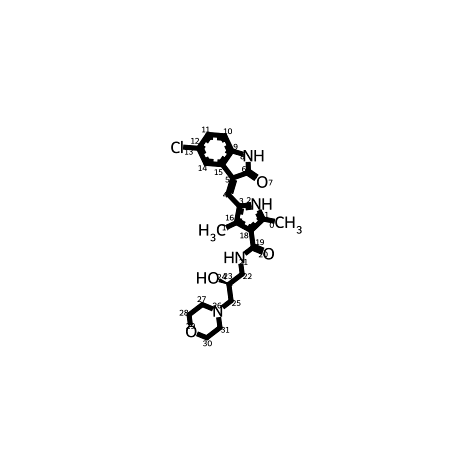 Cc1[nH]c(/C=C2\C(=O)Nc3ccc(Cl)cc32)c(C)c1C(=O)NC[C@H](O)CN1CCOCC1